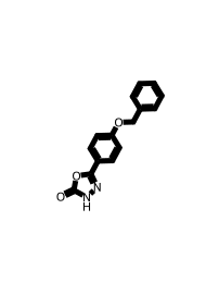 O=c1[nH]nc(-c2ccc(OCc3ccccc3)cc2)o1